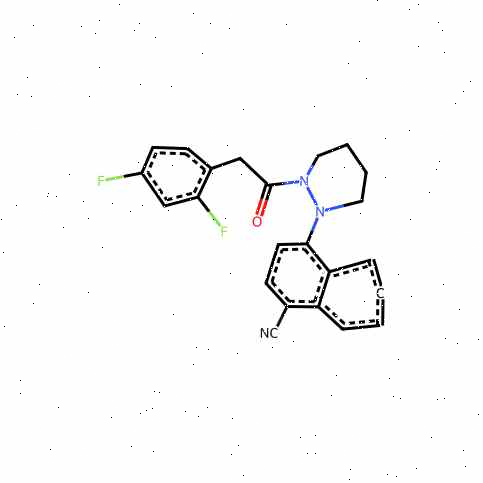 N#Cc1ccc(N2CCCCN2C(=O)Cc2ccc(F)cc2F)c2ccccc12